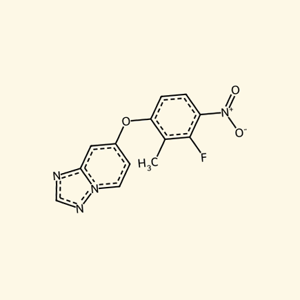 Cc1c(Oc2ccn3ncnc3c2)ccc([N+](=O)[O-])c1F